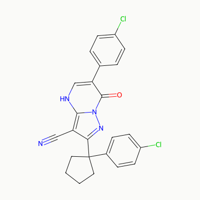 N#Cc1c(C2(c3ccc(Cl)cc3)CCCC2)nn2c(=O)c(-c3ccc(Cl)cc3)c[nH]c12